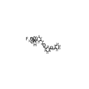 O=S(=O)(Nc1cccc(CCOCc2cccc(OCc3ccccc3)c2)c1)C(F)(F)F